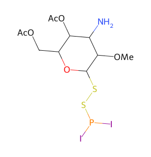 COC1C(SSP(I)I)OC(COC(C)=O)C(OC(C)=O)C1N